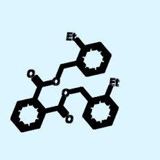 CCc1ccccc1COC(=O)c1ccccc1C(=O)OCc1ccccc1CC